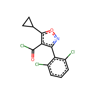 O=C(Cl)c1c(-c2c(Cl)cccc2Cl)noc1C1CC1